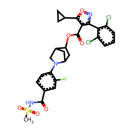 CS(=O)(=O)NC(=O)c1ccc(N2CC3CC2CC3OC(=O)c2c(-c3c(Cl)cccc3Cl)noc2C2CC2)c(F)c1